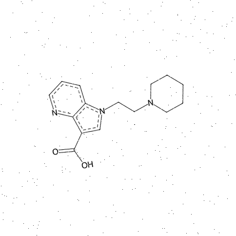 O=C(O)c1cn(CCN2CCCCC2)c2cccnc12